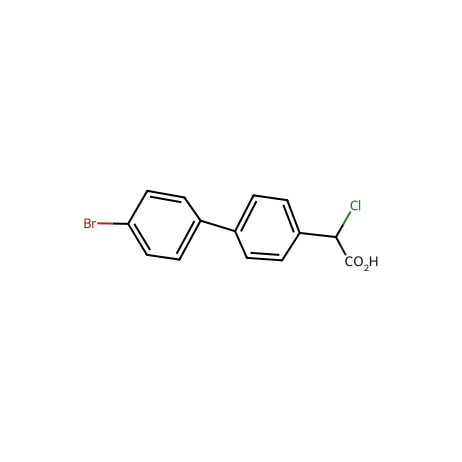 O=C(O)C(Cl)c1ccc(-c2ccc(Br)cc2)cc1